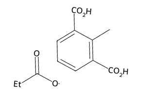 CCC([O])=O.Cc1c(C(=O)O)cccc1C(=O)O